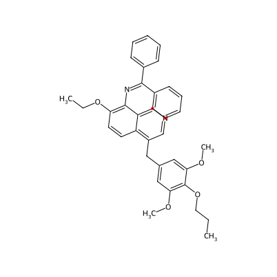 CCCOc1c(OC)cc(Cc2cncc3c(N=C(c4ccccc4)c4ccccc4)c(OCC)ccc23)cc1OC